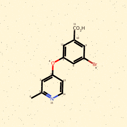 Cc1cc(Oc2cc(Br)cc(C(=O)O)c2)ccn1